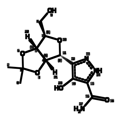 CC1(C)O[C@@H]2[C@H](O1)[C@@H](CO)O[C@@H]2c1n[nH]c(C(N)=O)c1O